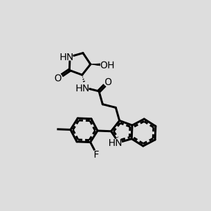 Cc1ccc(-c2[nH]c3ccccc3c2CCC(=O)N[C@@H]2C(=O)NC[C@H]2O)c(F)c1